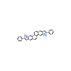 Cn1c(-c2ccccc2)cc2cc3ccc4c5cc6c(cc(-c7ccccc7)n6C)cc5ccc4c3cc21